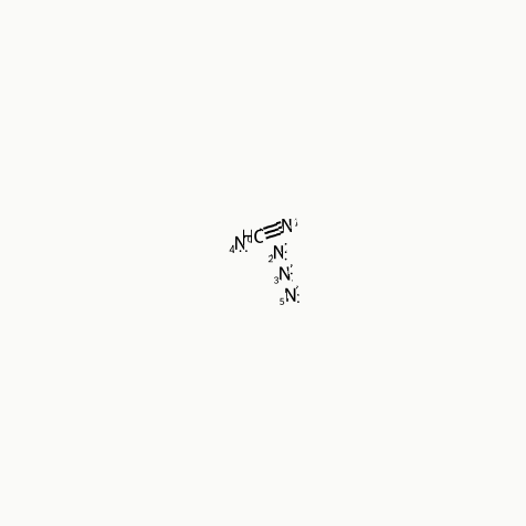 C#N.[N].[N].[N].[N]